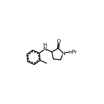 CCCN1CCC(Nc2ccccc2C)C1=O